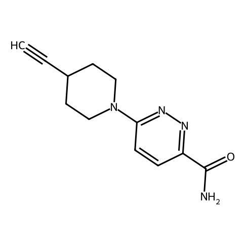 C#CC1CCN(c2ccc(C(N)=O)nn2)CC1